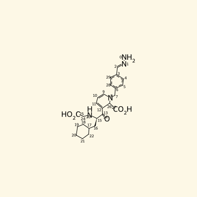 NN=Cc1ccc(CN2C=CC=C(C(=O)[C@@H](CC3CCCCC3)NCC(=O)O)C2C(=O)O)cc1